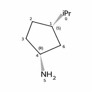 CC(C)[C@H]1CC[C@@H](N)C1